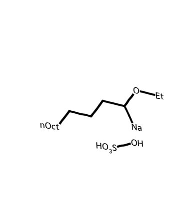 CCCCCCCCCCC[CH]([Na])OCC.O=S(=O)(O)O